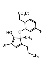 CCOC(=O)Cc1ccc(F)cc1OC1(C)C(CCC(F)(F)F)=CC(Br)=C1O